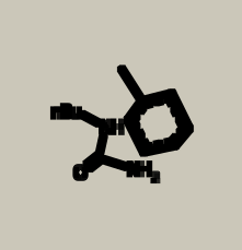 CCCCNC(N)=O.Cc1ccccc1